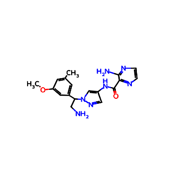 COc1cc(C)cc(C(CN)n2cc(NC(=O)c3nccnc3N)cn2)c1